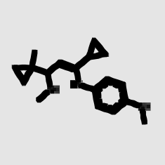 CNc1ccc(N/C(=C\C(NC)C2(C)CC2)C2CC2)cc1